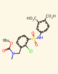 CN(Cc1cccc(S(=O)(=O)Nc2ccc(C(=O)O)c(C(=O)O)c2)c1Cl)C(=O)OC(C)(C)C